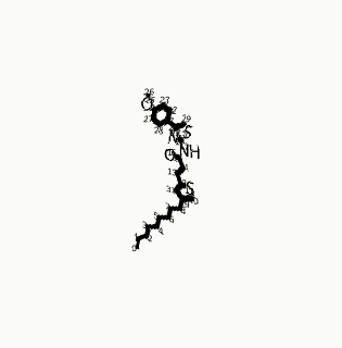 CCCCCCCCCc1csc(C=CC(=O)Nc2nc(-c3ccc(OC)cc3)cs2)c1